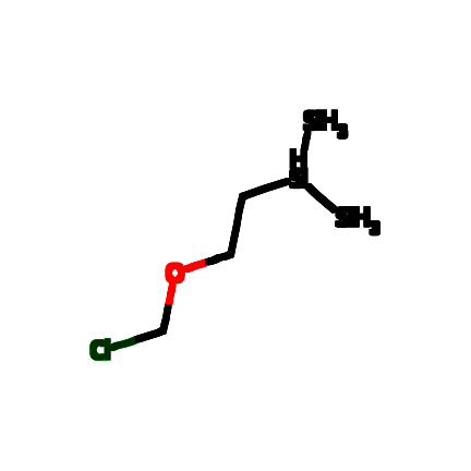 [SiH3][SiH]([SiH3])CCOCCl